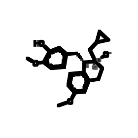 COc1ccc2c(c1)CC[N@+]([O-])(CC1CC1)[C@H]2Cc1ccc(OC)c(O)c1